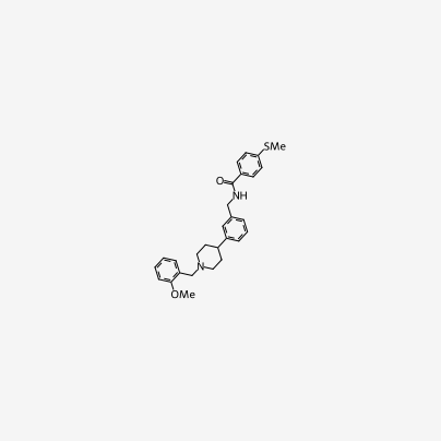 COc1ccccc1CN1CCC(c2cccc(CNC(=O)c3ccc(SC)cc3)c2)CC1